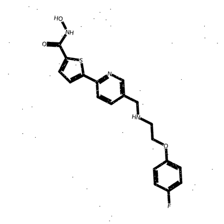 O=C(NO)c1ccc(-c2ccc(CNCCOc3ccc(F)cc3)cn2)s1